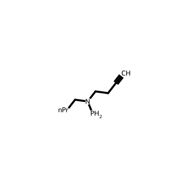 C#CCCN(P)CCCC